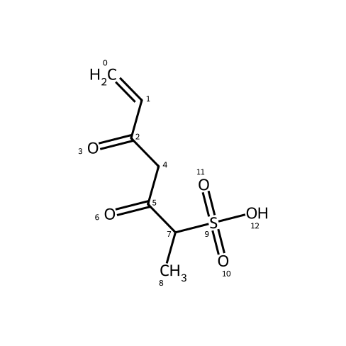 C=CC(=O)CC(=O)C(C)S(=O)(=O)O